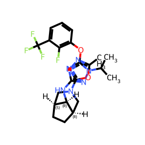 Cc1nnc(N2C[C@H]3CC[C@@H](C2)[C@H]3Nc2nc(Oc3cccc(C(F)(F)F)c3F)n(C(C)C)n2)o1